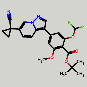 COc1cc(-c2cnn3cc(C4(C#N)CC4)ccc23)cc(OC(F)F)c1C(=O)OC(C)(C)C